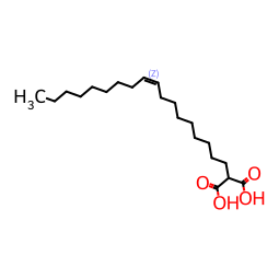 CCCCCCCC/C=C\CCCCCCCCC(C(=O)O)C(=O)O